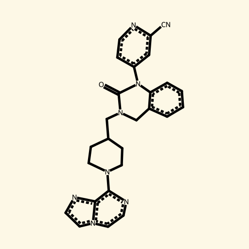 N#Cc1cc(N2C(=O)N(CC3CCN(c4nccn5ccnc45)CC3)Cc3ccccc32)ccn1